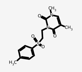 Cc1ccc(S(=O)(=O)CCn2c(=O)c(C)cn(C)c2=O)cc1